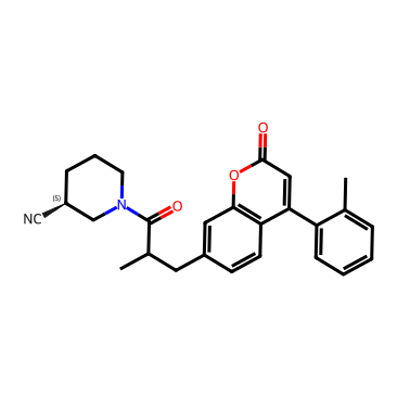 Cc1ccccc1-c1cc(=O)oc2cc(CC(C)C(=O)N3CCC[C@H](C#N)C3)ccc12